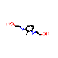 Cc1c(N=CCO)cccc1N=CCO